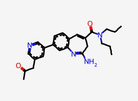 CCCN(CCC)C(=O)C1=Cc2ccc(-c3cncc(CC(C)=O)c3)cc2N=C(N)C1